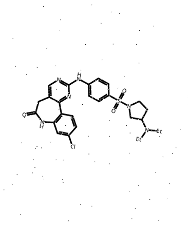 CCN(CC)C1CCN(S(=O)(=O)c2ccc(Nc3ncc4c(n3)-c3ccc(Cl)cc3NC(=O)C4)cc2)C1